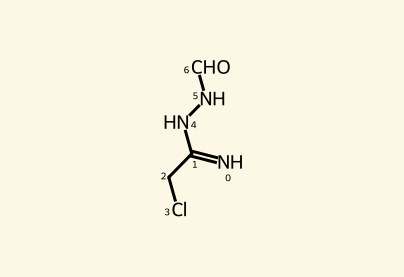 N=C(CCl)NNC=O